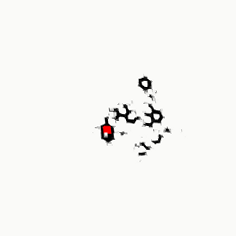 CC(C)(C)OC(=O)CCN[C@@H](CC(=O)O)C(N)=O.CCOC12CC3(C)CC(C)(CC(Cn4ncc(-c5ccc(N6CCc7cccc(C(=O)Nc8nc9ccccc9s8)c7C6)nc5C(=O)O)c4C)(C3)C1)C2